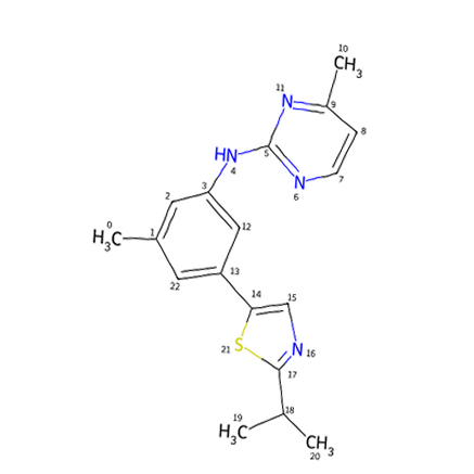 Cc1cc(Nc2nccc(C)n2)cc(-c2cnc(C(C)C)s2)c1